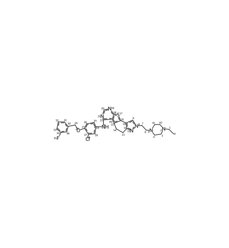 CCN1CCN(CCn2cc3c(n2)CCc2c-3sc3ncnc(Nc4ccc(OCc5cccc(F)c5)c(Cl)c4)c23)CC1